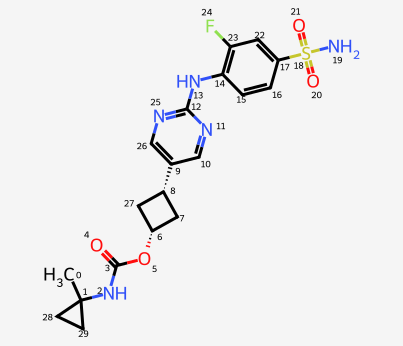 CC1(NC(=O)O[C@H]2C[C@@H](c3cnc(Nc4ccc(S(N)(=O)=O)cc4F)nc3)C2)CC1